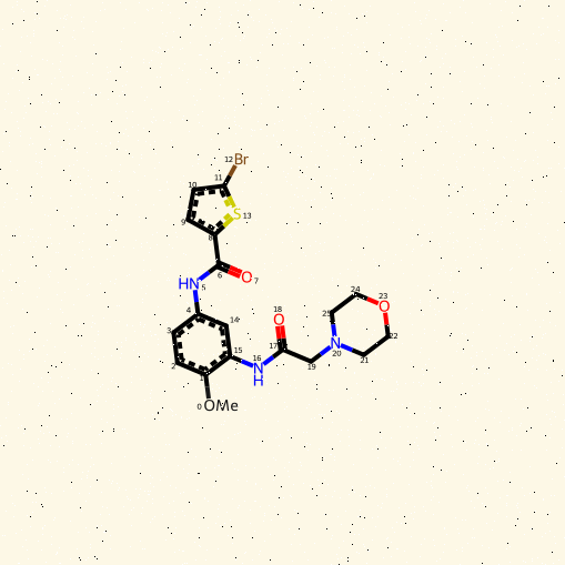 COc1ccc(NC(=O)c2ccc(Br)s2)cc1NC(=O)CN1CCOCC1